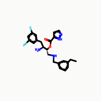 CCc1cccc(CNC[C@@H](OC(=O)c2ccn[nH]2)[C@@H](N)Cc2cc(F)cc(F)c2)c1